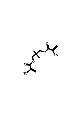 C=C(C#N)C(=O)OCC(C)(C)COC(=O)C(=C)C#N